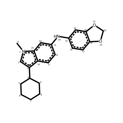 Cn1cc(C2CCCCC2)c2ccc(Nc3ccc4c(c3)OCO4)cc21